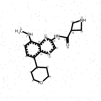 CBc1ccc(C2CCOCC2)c2ncc(NC(=O)C3CNC3)nc12